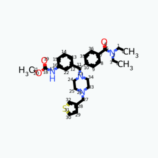 CCN(CC)C(=O)c1ccc([C@@H](c2cccc(NC(=O)OC)c2)N2CCN(Cc3ccsc3)CC2)cc1